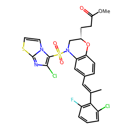 COC(=O)CC[C@H]1CN(S(=O)(=O)c2c(Cl)nc3sccn23)c2cc(/C=C(\C)c3c(F)cccc3Cl)ccc2O1